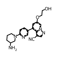 N#Cc1cnn2cc(OCCO)cc(-c3ccc(N4CCCC(N)C4)nc3)c12